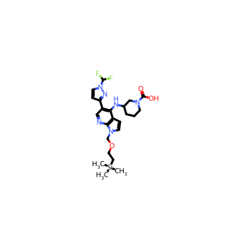 C[Si](C)(C)CCOCn1ccc2c(NC3CCCN(C(=O)O)C3)c(-c3ccn(C(F)F)n3)cnc21